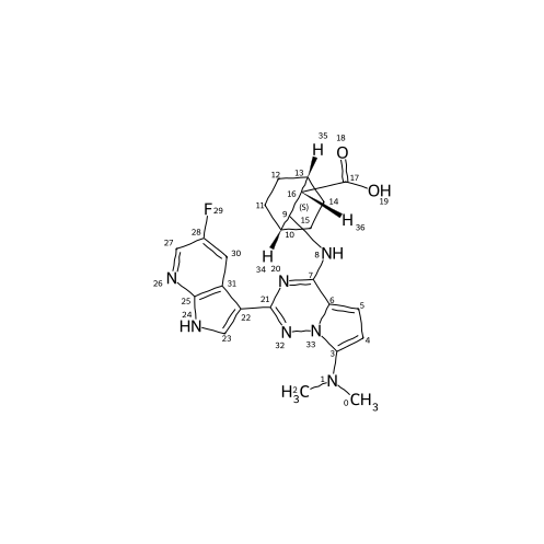 CN(C)c1ccc2c(NC3[C@H]4CC[C@H](CC4)[C@@H]3C(=O)O)nc(-c3c[nH]c4ncc(F)cc34)nn12